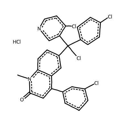 Cl.Cn1c(=O)cc(-c2cccc(Cl)c2)c2cc(C(Cl)(c3ccc(Cl)cc3)c3cnccc3Cl)ccc21